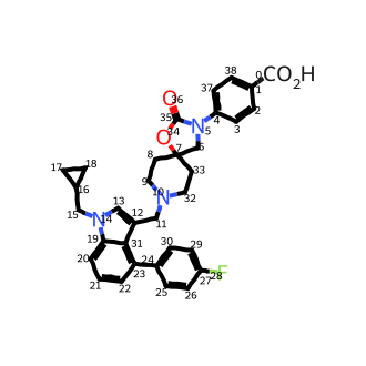 O=C(O)c1ccc(N2CC3(CCN(Cc4cn(CC5CC5)c5cccc(-c6ccc(F)cc6)c45)CC3)OC2=O)cc1